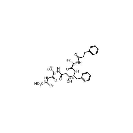 CC[C@H](C)[C@H](NC(=O)C[C@H](O)[C@H](Cc1ccccc1)NC(=O)[C@@H](NC(=O)CCc1ccccc1)C(C)C)C(=O)N[C@H](C(=O)O)C(C)C